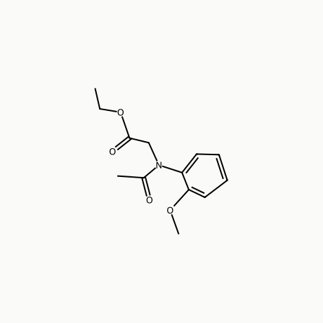 CCOC(=O)CN(C(C)=O)c1ccccc1OC